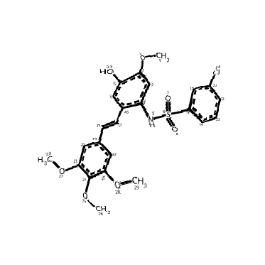 COc1cc(NS(=O)(=O)c2cccc(Cl)c2)c(C=Cc2cc(OC)c(OC)c(OC)c2)cc1O